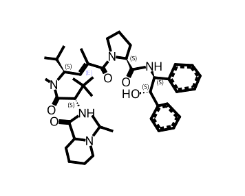 C/C(=C\[C@H](C(C)C)N(C)C(=O)[C@@H](NC(=O)C1CCCCN1C(C)C)C(C)(C)C)C(=O)N1CCC[C@H]1C(=O)N[C@@H](c1ccccc1)[C@@H](O)c1ccccc1